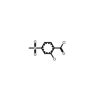 CS(=O)(=O)c1ccc(C(=O)Cl)c(Cl)c1